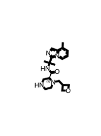 Cc1cccn2c(C(C)(C)NC(=O)[C@@H]3CNCCN3CC3COC3)ncc12